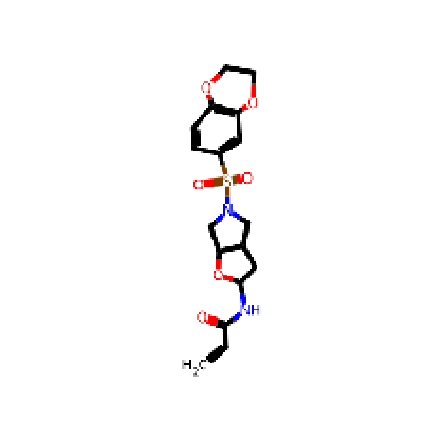 C=CC(=O)NC1CC2CN(S(=O)(=O)c3ccc4c(c3)OCCO4)CC2O1